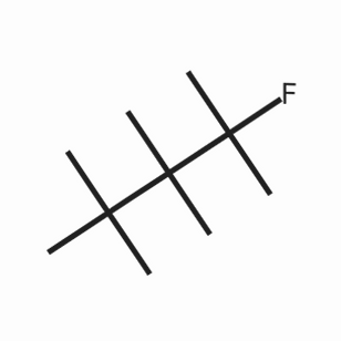 CC(C)(C)C(C)(C)C(C)(C)F